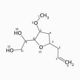 C=CCC1CC(OC)C(C(O)CO)O1